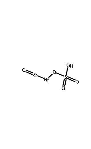 [O]=[Zr][Hf][O]S(=O)(=O)O